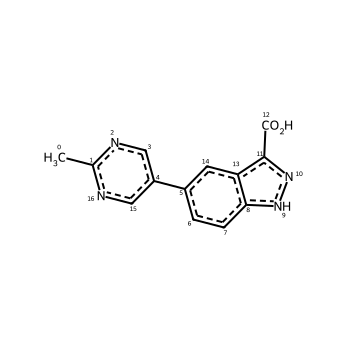 Cc1ncc(-c2ccc3[nH]nc(C(=O)O)c3c2)cn1